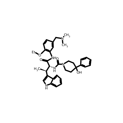 CCOc1ccc(CN(C)C)cc1NC(=O)[C@H](NC(=O)N1CCC(O)(c2ccccc2)CC1)[C@H](C)c1c[nH]c2ccccc12